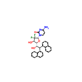 Nc1ccn([C@@H]2O[C@H](C(O)C(c3cccc4ccccc34)c3cccc4ccccc34)[C@@H](O)C2(F)F)c(=O)n1